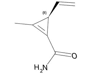 C=C[C@@H]1C(C)=C1C(N)=O